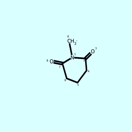 [CH2]N1C(=O)CCCC1=O